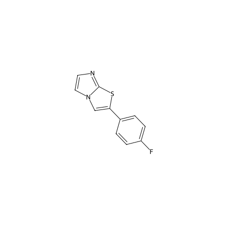 Fc1ccc(-c2cn3ccnc3s2)cc1